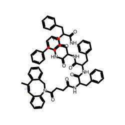 C/C1=C/c2ccccc2N(C(=O)CCC(=O)NC(Cc2ccccc2)C(=O)NC(Cc2ccccc2)C(=O)NC(Cc2ccccc2)C(=O)NC(Cc2ccccc2)C(=O)NC(Cc2ccccc2)C(N)=O)Cc2ccccc21